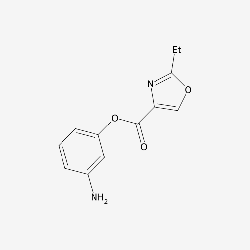 CCc1nc(C(=O)Oc2cccc(N)c2)co1